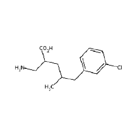 CC(Cc1cccc(Cl)c1)CC(CN)C(=O)O